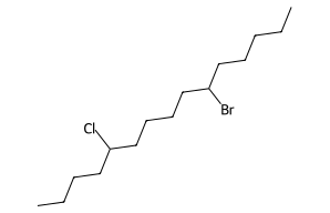 CCCCCC(Br)CCCCC(Cl)CCCC